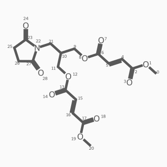 COC(=O)/C=C/C(=O)OCC(COC(=O)/C=C/C(=O)OC)CN1C(=O)CCC1=O